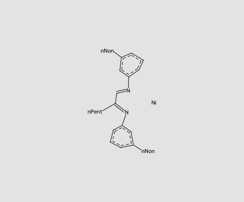 CCCCCCCCCc1cccc(N=CC(CCCCC)=Nc2cccc(CCCCCCCCC)c2)c1.[Ni]